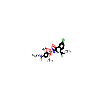 CNC(=O)c1cc(OC)c(S(=O)(=O)Nc2noc3c2C[C@@]2(c4ccc(Br)cc4-3)[C@@H](C)[C@@H]2F)c(OC)c1